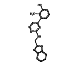 Cc1c(O)cccc1-c1cnnc(NCc2nc3ccccc3s2)n1